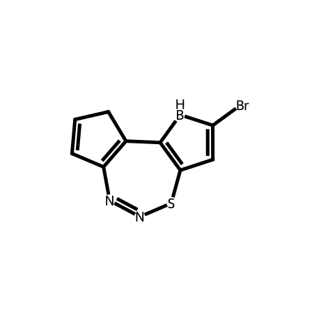 BrC1=CC2=C(B1)C1=C(C=CC1)N=NS2